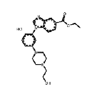 CCOC(=O)c1ccc2c(c1)ncn2-c1cccc(N2CCN(CCO)CC2)c1.Cl